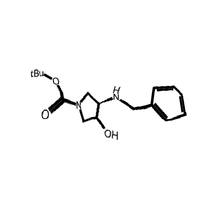 CC(C)(C)OC(=O)N1CC(O)[C@H](NCc2ccccc2)C1